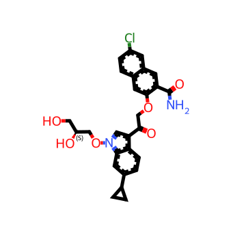 NC(=O)c1cc2cc(Cl)ccc2cc1OCC(=O)c1cn(OC[C@@H](O)CO)c2cc(C3CC3)ccc12